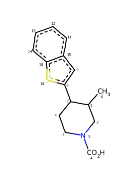 CC1CN(C(=O)O)CCC1c1cc2ccccc2s1